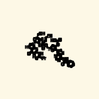 CC(C)C(=O)Nc1nc2c(c(=O)[nH]1)NCN2[C@@H]1O[C@H](CO)[C@@H](F)[C@H]1OP(=O)(OCCC#N)OC[C@@H]1C[C@@H](O[PH](=O)O)[C@H](n2cnc3c(NC(=O)c4ccccc4)ncnc32)O1